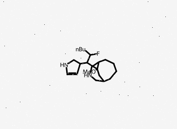 CCCCC(F)C(C1C=CNC1)C1(OC)CC2CCCCC1CNC2